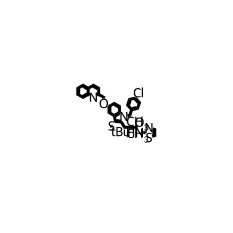 CC(C)(C)Sc1c(CC(C)(C)C(=O)Nc2nccs2)n(Cc2ccc(Cl)cc2)c2ccc(OCc3ccc4ccccc4n3)cc12